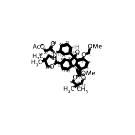 COCOc1ccc(C2OCC(C)(C)CO2)cc1C(O)(c1cccc(NC(=O)COC(C)=O)c1)c1cc(C2OCC(C)(C)CO2)ccc1OCOC